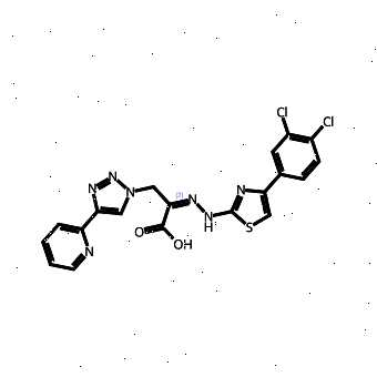 O=C(O)/C(Cn1cc(-c2ccccn2)nn1)=N\Nc1nc(-c2ccc(Cl)c(Cl)c2)cs1